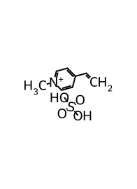 C=Cc1cc[n+](C)cc1.O=S(=O)(O)O